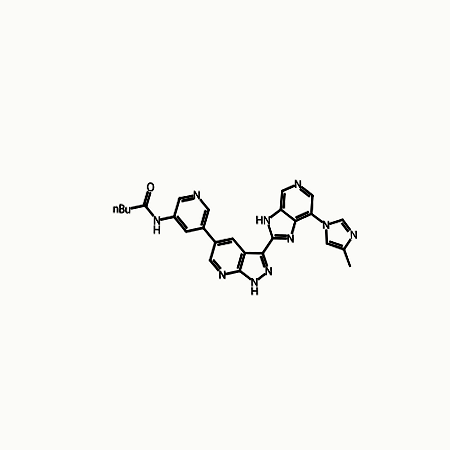 CCCCC(=O)Nc1cncc(-c2cnc3[nH]nc(-c4nc5c(-n6cnc(C)c6)cncc5[nH]4)c3c2)c1